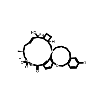 CC(C)[C@@]1(O)/C=C/C[C@H](C)[C@@H](C)S(=O)(=O)NC(=O)c2ccc3c(c2)N(CCCCc2cc(Cl)ccc2CO3)C[C@@H]2CC[C@H]21